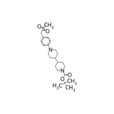 CC(C)(C)OC(=O)N1CCC(C2CCN(c3ccc(CS(C)(=O)=O)cc3)CC2)CC1